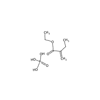 C=C(CC)C(=O)OCC.O=P(O)(O)O